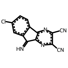 N#Cc1nc2c(nc1C#N)-c1ccc(Cl)cc1C2=N